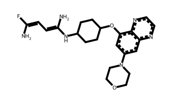 N/C(F)=C\C=C(/N)NC1CCC(Oc2cc(N3CCOCC3)cc3nccnc23)CC1